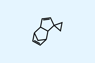 C1=CC2CC1C1C=CC3(CC3)C21